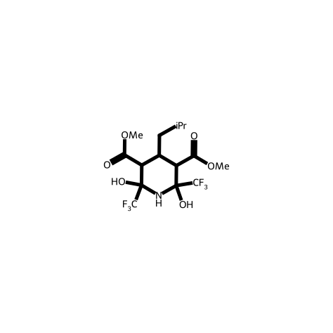 COC(=O)C1C(CC(C)C)C(C(=O)OC)C(O)(C(F)(F)F)NC1(O)C(F)(F)F